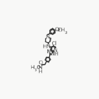 CNC(=O)Cc1ccc(-c2nc3c(NC4CCN(Cc5ccc(OC)cc5)CC4)c(Cl)cnc3[nH]2)cc1